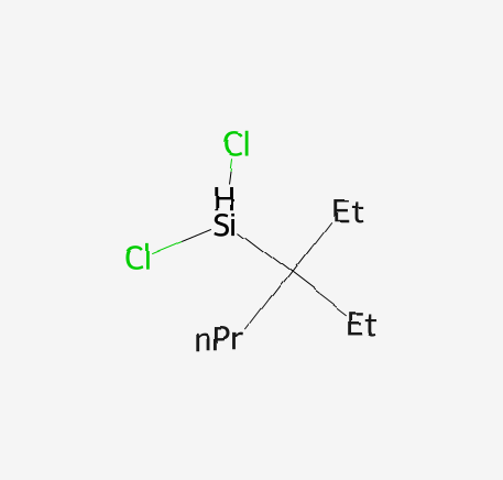 CCCC(CC)(CC)[SiH](Cl)Cl